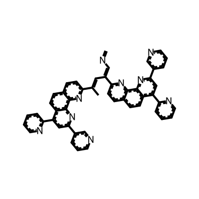 C=N/C=C(\C=C(/C)c1ccc2ccc3c(-c4ccccn4)cc(-c4cccnc4)nc3c2n1)c1ccc2ccc3c(-c4ccccn4)cc(-c4cccnc4)nc3c2n1